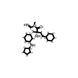 CN(C=N)C(=O)[C@@](N)(CCC1CCCCC1)C[C@H]1CCC[C@@H](NC2CCCC2)C1